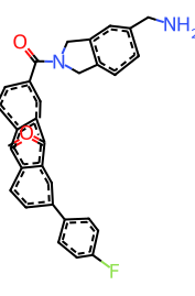 NCc1ccc2c(c1)CN(C(=O)c1ccc3c(c1)c1oc3c3ccc(-c4ccc(F)cc4)cc31)C2